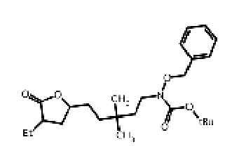 CCC1CC(CCC(C)(C)CCN(OCc2ccccc2)C(=O)OC(C)(C)C)OC1=O